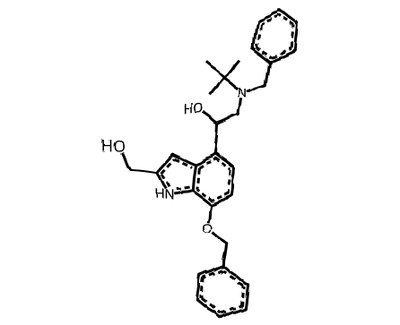 CC(C)(C)N(Cc1ccccc1)CC(O)c1ccc(OCc2ccccc2)c2[nH]c(CO)cc12